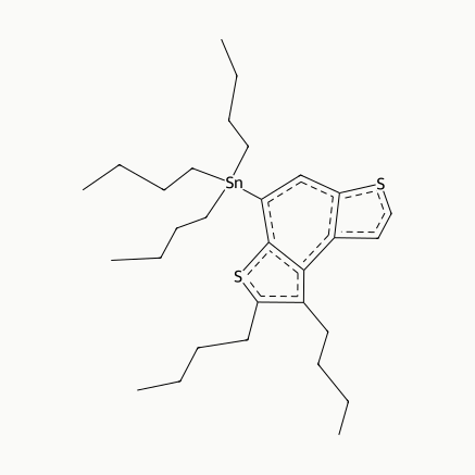 CCCCc1sc2[c]([Sn]([CH2]CCC)([CH2]CCC)[CH2]CCC)cc3sccc3c2c1CCCC